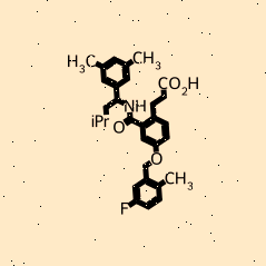 Cc1cc(C)cc(C(CC(C)C)NC(=O)c2cc(OCc3cc(F)ccc3C)ccc2CCC(=O)O)c1